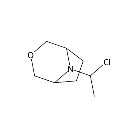 CC(Cl)N1C2CCC1COC2